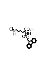 O=C(N[C@@H](CCCCNCl)C(=O)O)OCC1c2ccccc2-c2ccccc21